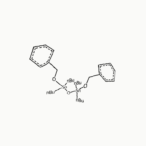 CCC[CH2][Sn]([CH2]CCC)([O]Cc1ccccc1)[O][Sn]([CH2]CCC)([CH2]CCC)[O]Cc1ccccc1